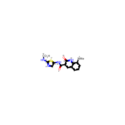 CNc1cccc2cc(C(=O)Nc3cnc(NC(=O)O)s3)c(=O)[nH]c12